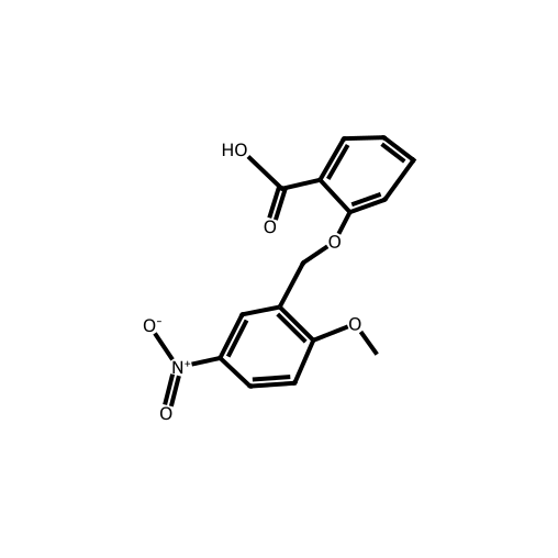 COc1ccc([N+](=O)[O-])cc1COc1ccccc1C(=O)O